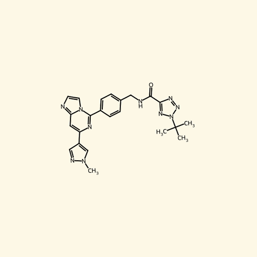 Cn1cc(-c2cc3nccn3c(-c3ccc(CNC(=O)c4nnn(C(C)(C)C)n4)cc3)n2)cn1